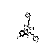 N#CN(NCCCN1CCOCC1)c1nc2ccc(Br)cc2c(=O)n1CCCN1CCOCC1